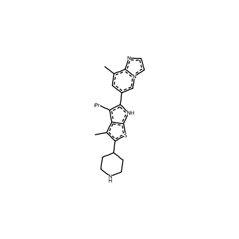 Cc1c(C2CCNCC2)sc2[nH]c(-c3cc(C)c4nccn4c3)c(C(C)C)c12